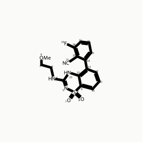 COCCNC1=NS(=O)(=O)c2cccc(-c3cccc(F)c3C#N)c2N1